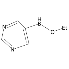 CCOBc1cncnc1